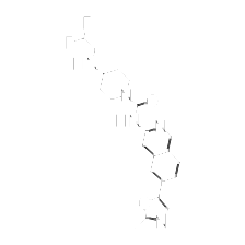 Cc1ncc(-c2ccc3cnc(NC(=O)N4CCC(NCC(F)F)CC4)cc3c2)o1